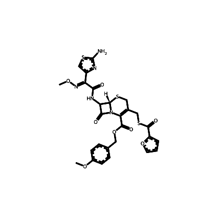 CON=C(C(=O)NC1C(=O)N2C(C(=O)OCc3ccc(OC)cc3)=C(CSC(=O)c3ccco3)CS[C@@H]12)c1csc(N)n1